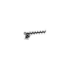 CCCCCCCCCCCCC[C@H](CC=O)O[Si](C)(C)C(C)(C)C